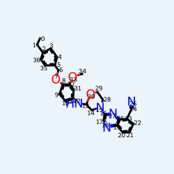 CCc1ccc(COc2ccc(NC3CN(c4cnc5cccc(C#N)c5n4)CCO3)cc2OC)cc1